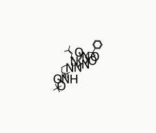 CC(C)=CCn1c(N2CCC[C@H](NC(=O)OC(C)(C)C)C2)nc2c1c(=O)n(CC(=O)c1ccccc1)c(=O)n2C